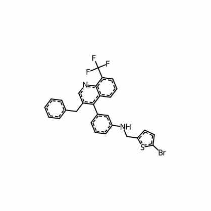 FC(F)(F)c1cccc2c(-c3cccc(NCc4ccc(Br)s4)c3)c(Cc3ccccc3)cnc12